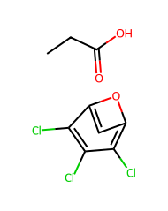 CCC(=O)O.Clc1c2cc(c(Cl)c1Cl)O2